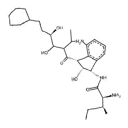 CC[C@H](C)[C@H](N)C(=O)N[C@H]1c2cccc(N)c2[C@@H](C(=O)C(C(C)C)C(O)[C@H](O)CCC2CCCCC2)[C@H]1O